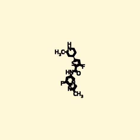 Cc1cn2cc(NC(=O)c3sc([C@H]4CCN[C@H](C)C4)cc3F)cc(F)c2n1